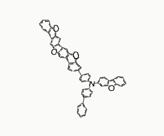 c1ccc(-c2ccc(N(c3ccc(-c4ccc5c(c4)oc4cc6c(cc45)oc4cc5c(cc46)oc4ccccc45)cc3)c3ccc4c(c3)oc3ccccc34)cc2)cc1